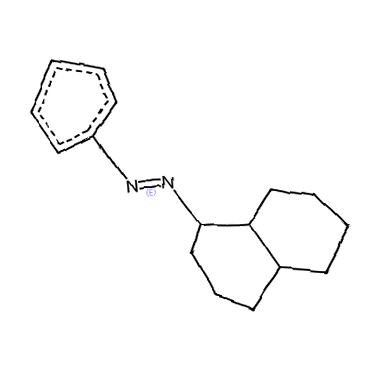 c1ccc(/N=N/C2CCCC3CCCCC32)cc1